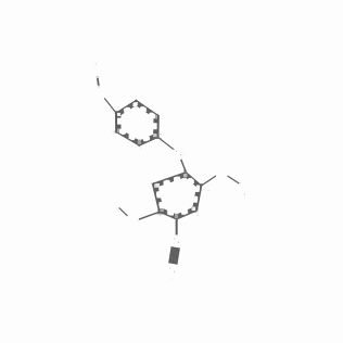 CCOc1ccc(Nc2cc(OCC)c([N+]#N)cc2OCC)cc1